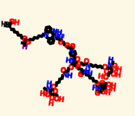 CC(=O)NC1C(OCCCCCCNC(=O)CCOCC(COCCC(=O)NCCCCCCOC2OC(CO)C(O)C(O)C2NC(C)=O)(COCCC(=O)NCCCCCCOC2OC3(CO)C(O)C(O)C23NC(C)=O)NC(=O)C2CCN(C(=O)COCCOCCN/C3=C(\N)c4ccccc4N(CCCCCCCO[PH](OCCCCC/C=C/[C@@H]4BC4O)=C(C)C)Cc4ccccc43)CC2)OC(CO)C(O)C1O